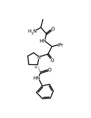 CC(N)C(=O)NC(C(=O)N1CCC[C@H]1C(=O)Nc1ccccc1)C(C)C